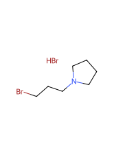 Br.BrCCCN1CCCC1